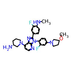 CNc1ccc(-c2nc3c(N4CCC[C@@H](N)C4)ccnc3n2-c2ccc(N3CC[C@@H](OC)C3)cc2F)cc1F